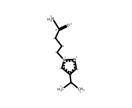 CC(C)c1cnn(CCCC(N)=O)c1